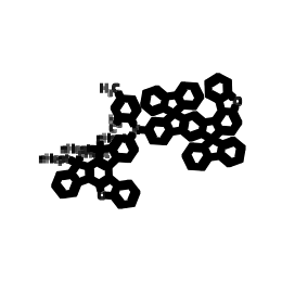 CCCCCCCC1(CCCCCCC)c2ccccc2-c2c1c1c(c3c2oc2ccccc23)-c2ccc(N(c3ccc4c(c3)C3(c5ccccc5-c5ccccc53)c3cc5c(cc3-4)C3(c4ccccc4-c4ccccc43)c3ccc4oc6ccccc6c4c3-5)c3ccc(C)cc3C)cc2C1(CCCCCCC)CCCCCCC